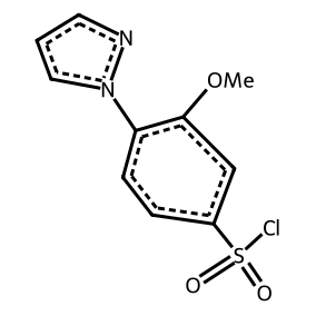 COc1cc(S(=O)(=O)Cl)ccc1-n1cccn1